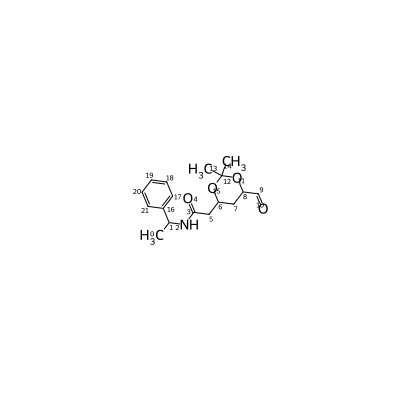 CC(NC(=O)CC1CC(C=O)OC(C)(C)O1)c1ccccc1